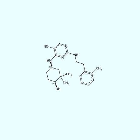 Cc1ccccc1CCNc1ncc(C#N)c(N[C@@H]2CC[C@H](O)C(C)(C)C2)n1